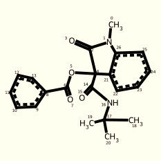 CN1C(=O)C(OC(=O)c2ccccc2)(C(=O)NC(C)(C)C)c2ccccc21